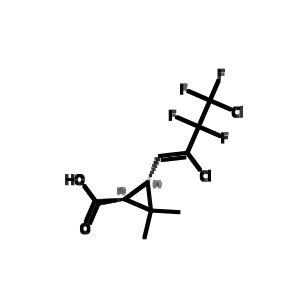 CC1(C)[C@@H](C=C(Cl)C(F)(F)C(F)(F)Cl)[C@@H]1C(=O)O